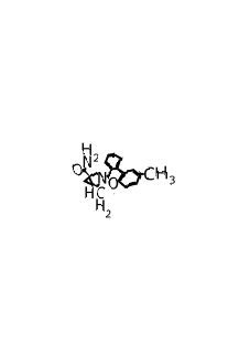 [CH2][C@H]1[C@H]2C[C@]2(C(N)=O)CN1C(=O)c1ccccc1-c1cccc(C)c1